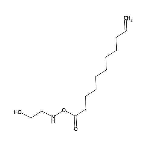 C=CCCCCCCCCC(=O)ONCCO